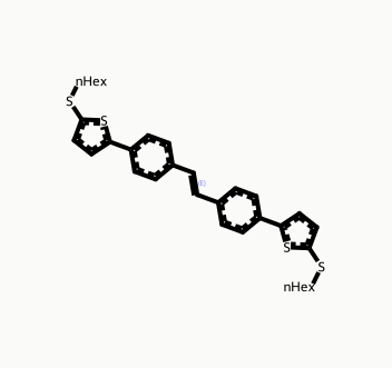 CCCCCCSc1ccc(-c2ccc(/C=C/c3ccc(-c4ccc(SCCCCCC)s4)cc3)cc2)s1